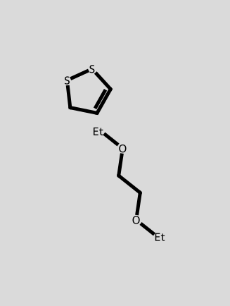 C1=CSSC1.CCOCCOCC